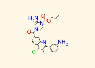 CCCOC(=O)N1CCN(C(=O)c2ccc3c(Cl)c(C)c(-c4cccc(N)c4)nc3c2)C[C@H]1N